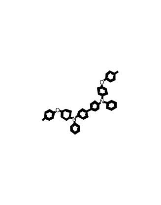 Cc1ccc(OC2=CCC(N(c3ccccc3)c3ccc(-c4ccc(N(c5ccccc5)c5ccc(Oc6ccc(C)cc6)cc5)cc4)cc3)C=C2)cc1